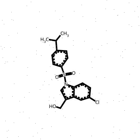 CC(C)c1ccc(S(=O)(=O)n2cc(CO)c3cc(Cl)ccc32)cc1